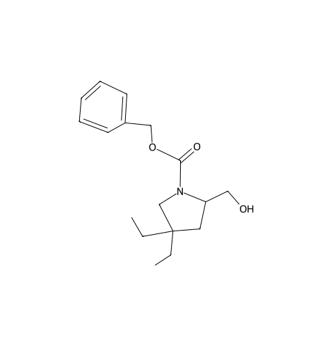 CCC1(CC)CC(CO)N(C(=O)OCc2ccccc2)C1